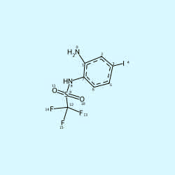 Nc1cc(I)ccc1NS(=O)(=O)C(F)(F)F